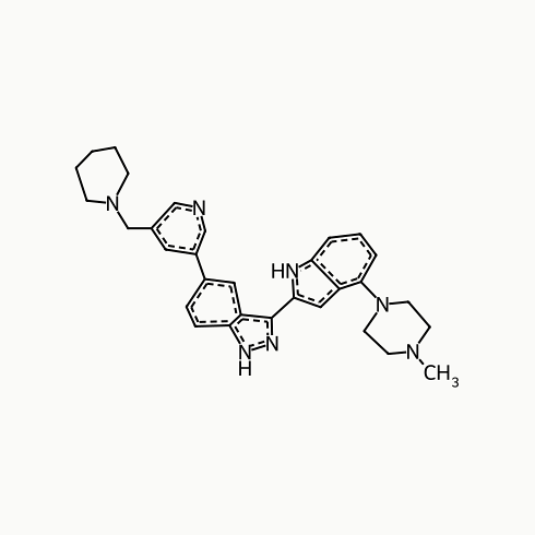 CN1CCN(c2cccc3[nH]c(-c4n[nH]c5ccc(-c6cncc(CN7CCCCC7)c6)cc45)cc23)CC1